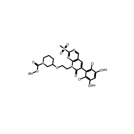 COc1cc(OC)c(Cl)c(-c2cc3cnc(S(C)(=O)=O)nc3n(CCOC3CCCN(C(=O)OC(C)(C)C)C3)c2=O)c1Cl